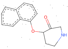 O=C1CNCCC1Oc1cccc2ccccc12